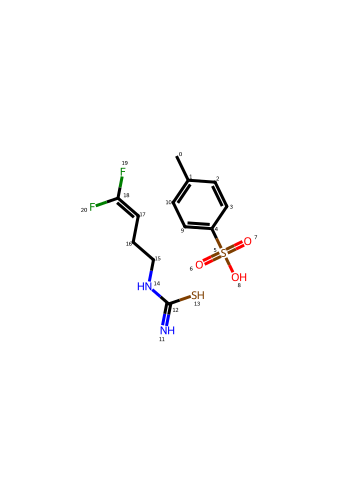 Cc1ccc(S(=O)(=O)O)cc1.N=C(S)NCCC=C(F)F